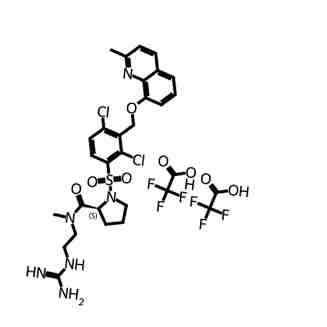 Cc1ccc2cccc(OCc3c(Cl)ccc(S(=O)(=O)N4CCC[C@H]4C(=O)N(C)CCNC(=N)N)c3Cl)c2n1.O=C(O)C(F)(F)F.O=C(O)C(F)(F)F